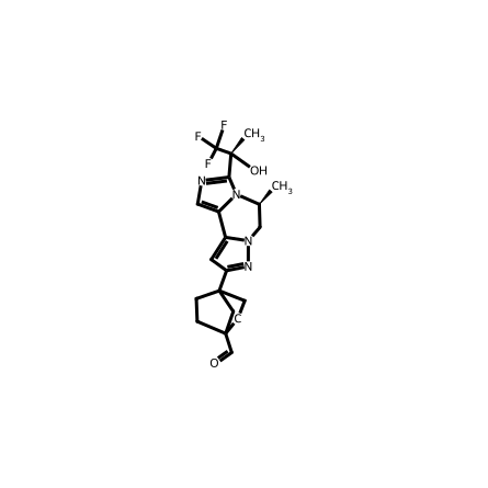 C[C@H]1Cn2nc(C34CCC(C=O)(CC3)C4)cc2-c2cnc([C@@](C)(O)C(F)(F)F)n21